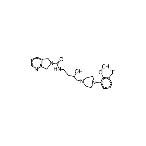 COc1c(F)cccc1N1CCN(C[C@H](O)CCNC(=O)N2Cc3cccnc3C2)CC1